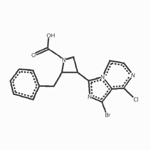 O=C(O)N1CC(c2nc(Br)c3c(Cl)nccn23)C1Cc1ccccc1